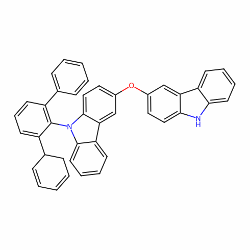 C1=CCC(c2cccc(-c3ccccc3)c2-n2c3ccccc3c3cc(Oc4ccc5[nH]c6ccccc6c5c4)ccc32)C=C1